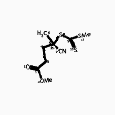 COC(=O)CC[C@@](C)(C#N)SC(=S)SC